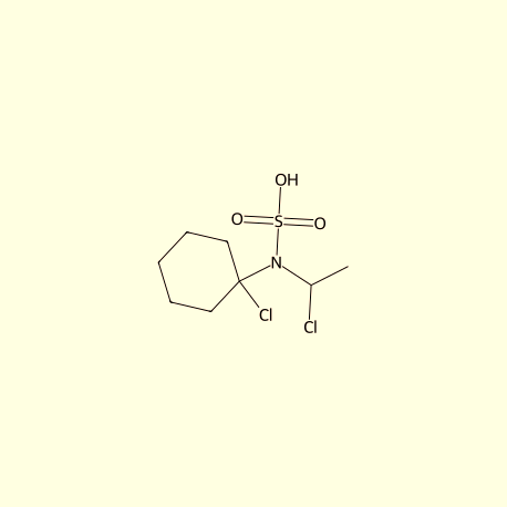 CC(Cl)N(C1(Cl)CCCCC1)S(=O)(=O)O